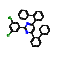 Clc1cc(Cl)cc(-c2nc(-c3ccccc3C3=CC=CCC3)cc(-c3ccccc3-c3ccccc3)n2)c1